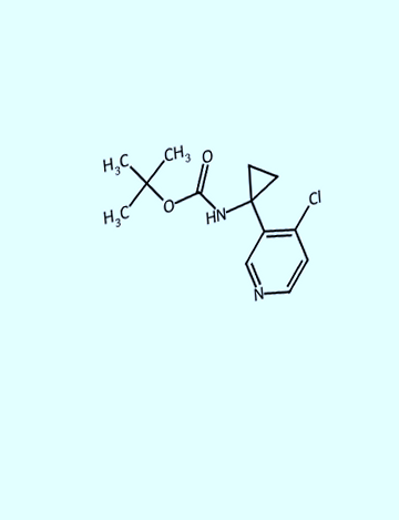 CC(C)(C)OC(=O)NC1(c2cnccc2Cl)CC1